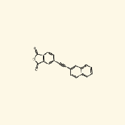 O=C1OC(=O)c2cc(C#Cc3ccc4ccccc4c3)ccc21